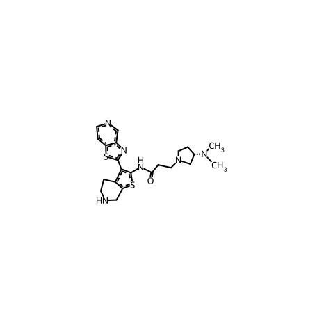 CN(C)[C@H]1CCN(CCC(=O)Nc2sc3c(c2-c2nc4cnccc4s2)CCNC3)C1